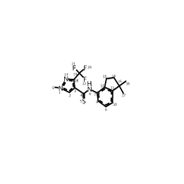 Cn1cc(C(=S)Nc2cccc3c2CCC3(C)C)c(C(F)(F)F)n1